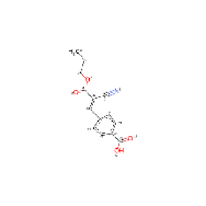 CCCOC(=O)/C(C#N)=C/c1ccc(C(=O)O)cc1